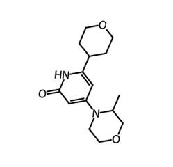 CC1COCCN1c1cc(C2CCOCC2)[nH]c(=O)c1